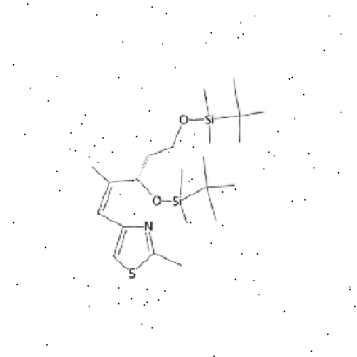 CC(=Cc1csc(C)n1)[C@H](CCO[Si](C)(C)C(C)(C)C)O[Si](C)(C)C(C)(C)C